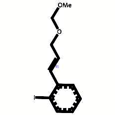 COCOC/C=C/c1ccccc1I